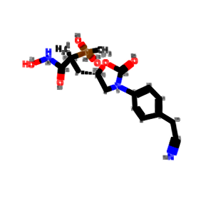 C[C@@](C[C@H]1CN(c2ccc(CC#N)cc2)C(=O)O1)(C(=O)NO)S(C)(=O)=O